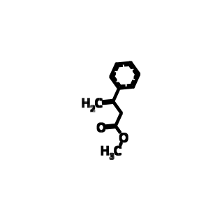 C=C(CC(=O)OC)c1ccccc1